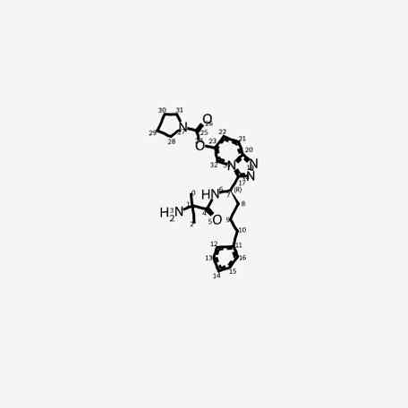 CC(C)(N)C(=O)N[C@H](CCCc1ccccc1)c1nnc2ccc(OC(=O)N3CCCC3)cn12